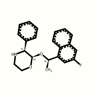 C[C@@H](O[C@H]1OCCN[C@H]1c1ccccc1)c1cc(F)cc2ccccc12